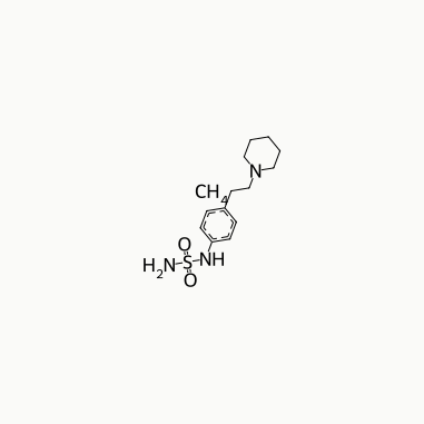 C.NS(=O)(=O)Nc1ccc(CCN2CCCCC2)cc1